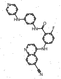 N#Cc1ccc2nccc(Nc3ccc(F)c(C(=O)Nc4cccc(Nc5ccncc5)c4)c3)c2c1